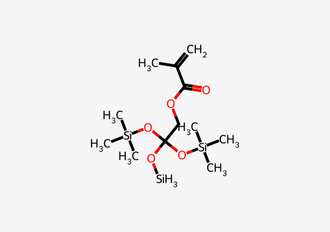 C=C(C)C(=O)OCC(O[SiH3])(O[Si](C)(C)C)O[Si](C)(C)C